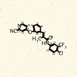 C/C(=C\c1cccc(Oc2ccnc(C#N)c2)c1)C(=O)Nc1ccc(Cl)c(C(F)(F)F)c1